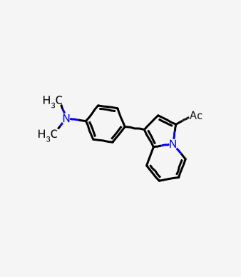 CC(=O)c1cc(-c2ccc(N(C)C)cc2)c2ccccn12